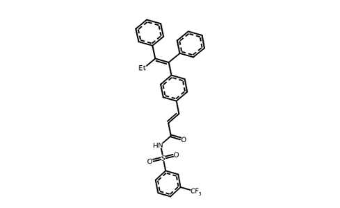 CCC(=C(c1ccccc1)c1ccc(C=CC(=O)NS(=O)(=O)c2cccc(C(F)(F)F)c2)cc1)c1ccccc1